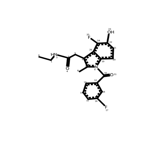 CCNC(=O)Cc1c(C)n(C(=O)c2cccc(F)c2)c2ccc(O)c(F)c12